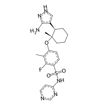 Cc1c(O[C@@]2(C)CCCC[C@@H]2c2c[nH]nc2N)ccc(S(=O)(=O)Nc2ccncn2)c1F